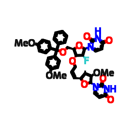 COc1ccc(C(OC[C@H]2O[C@@H](n3ccc(=O)[nH]c3=O)[C@H](F)[C@@H]2OC/C=C\[C@H]2[CH][C@@H](OC)[C@H](n3ccc(=O)[nH]c3=O)O2)(c2ccccc2)c2ccc(OC)cc2)cc1